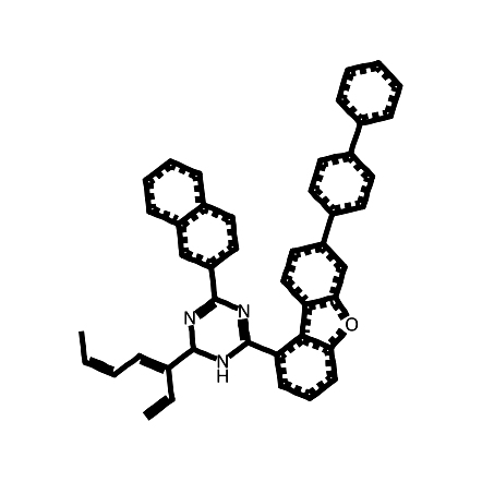 C=C/C(=C\C=C/C)C1N=C(c2ccc3ccccc3c2)N=C(c2cccc3oc4cc(-c5ccc(-c6ccccc6)cc5)ccc4c23)N1